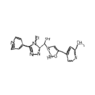 CCn1c(-c2ccncc2)nnc1C(S)N1C=C(c2ccnc(C)c2)ON1